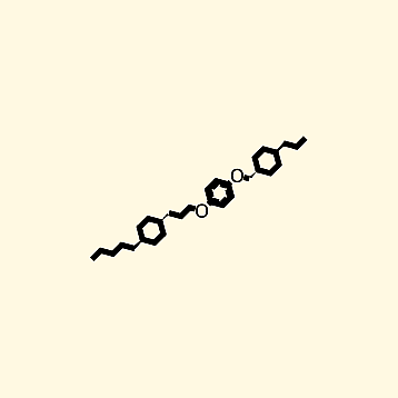 CCCCC[C@H]1CC[C@H](CCCOc2ccc(OC[C@H]3CC[C@H](CCC)CC3)cc2)CC1